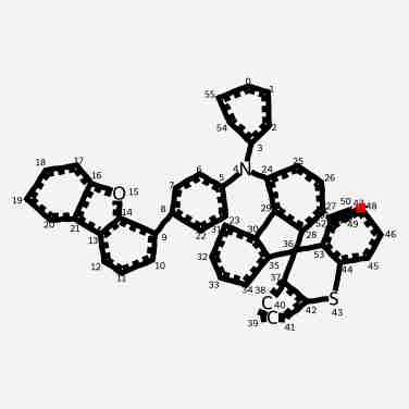 c1ccc(N(c2ccc(-c3cccc4c3oc3ccccc34)cc2)c2cccc3c2-c2ccccc2C32c3ccccc3Sc3ccc4ccccc4c32)cc1